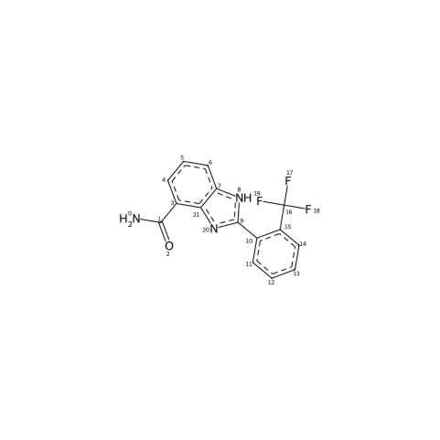 NC(=O)c1cccc2[nH]c(-c3ccccc3C(F)(F)F)nc12